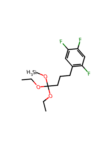 CCOC(CCCc1cc(F)c(F)cc1F)(O[SiH3])OCC